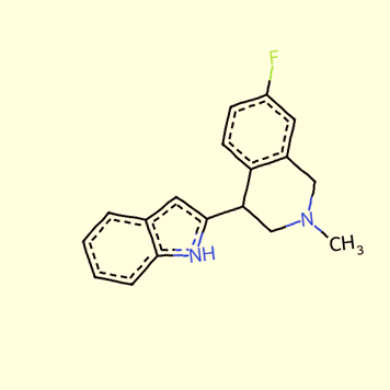 CN1Cc2cc(F)ccc2C(c2cc3ccccc3[nH]2)C1